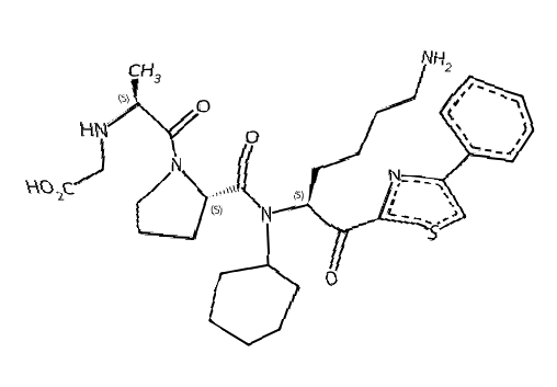 C[C@H](NCC(=O)O)C(=O)N1CCC[C@H]1C(=O)N(C1CCCCC1)[C@@H](CCCCN)C(=O)c1nc(-c2ccccc2)cs1